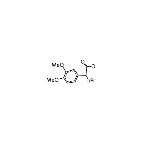 CCCC(C([O])=O)c1ccc(OC)c(OC)c1